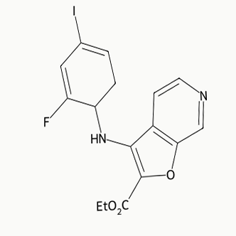 CCOC(=O)c1oc2cnccc2c1NC1CC=C(I)C=C1F